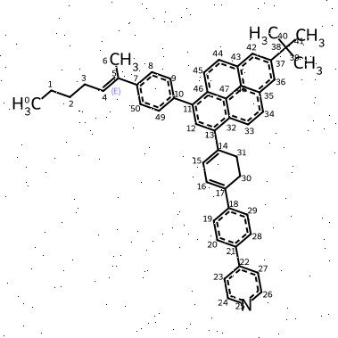 CCCC/C=C(\C)c1ccc(-c2cc(C3=CC=C(c4ccc(-c5ccncc5)cc4)CC3)c3ccc4cc(C(C)(C)C)cc5ccc2c3c45)cc1